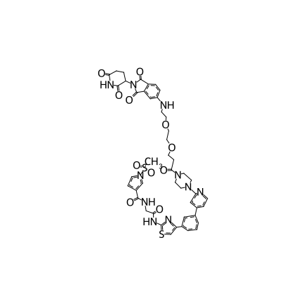 CS(=O)(=O)n1ccc(C(=O)NCC(=O)Nc2nc(-c3cccc(-c4ccnc(N5CCN(C(=O)CCOCCOCCNc6ccc7c(c6)C(=O)N(C6CCC(=O)NC6=O)C7=O)CC5)c4)c3)cs2)c1